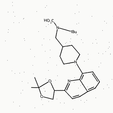 CC1(C)OCC(c2ccc3cccc(N4CCC(CN(C(=O)O)C(C)(C)C)CC4)c3n2)O1